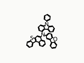 c1ccc(-n2c3ccccc3c3c(N(c4ccc5oc6ccccc6c5c4)c4cc5sc6ccccc6c5c5ccccc45)cccc32)cc1